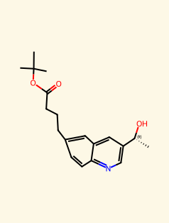 C[C@@H](O)c1cnc2ccc(CCCC(=O)OC(C)(C)C)cc2c1